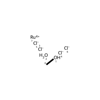 CO.O.[Cl-].[Cl-].[Cl-].[Cl-].[Ru+4]